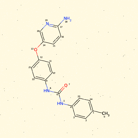 Cc1ccc(NC(=O)Nc2ccc(Oc3ccc(N)nc3)cc2)cc1